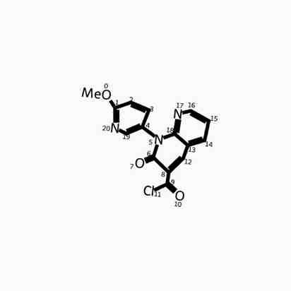 COc1ccc(-n2c(=O)c(C(=O)Cl)cc3cccnc32)cn1